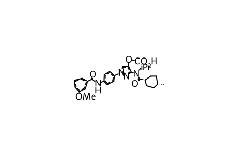 COc1cccc(C(=O)Nc2ccc(-n3cc(OC(=O)O)c(N(C(=O)[C@H]4CC[C@H](C)CC4)C(C)C)n3)cc2)c1